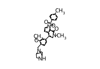 COc1cc(-c2cn(C)c(=O)c3c2ccn3S(=O)(=O)c2ccc(C)cc2)ccc1CN1CC2CC1CN2